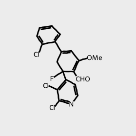 COC1=C(C=O)C(F)(c2ccnc(Cl)c2Cl)CC(c2ccccc2Cl)=C1